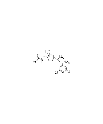 Cc1cc(C2=NSC(c3cc(Cl)cc(Cl)c3)(C(F)(F)F)C2)ccc1CNC(=O)C(C)C